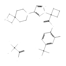 O=C(Nc1ccc(C(F)(F)F)cc1Cl)C1(n2cc(N3CCC4(CC3)CNC4)cn2)CCC1.O=C(O)C(F)(F)F